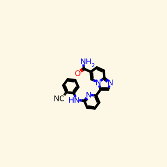 N#Cc1ccccc1Nc1cccc(-c2cnc3ccc(C(N)=O)cn23)n1